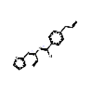 C=CCc1ccc(/C(CC)=N/C(C=C)=C/c2cccs2)cc1